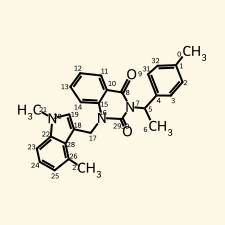 Cc1ccc(C(C)n2c(=O)c3ccccc3n(Cc3cn(C)c4cccc(C)c34)c2=O)cc1